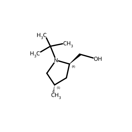 C[C@H]1C[C@H](CO)N(C(C)(C)C)C1